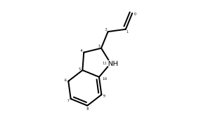 C=CCC1CC2CC=CC=C2N1